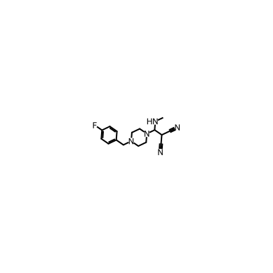 CNC(C(C#N)C#N)N1CCN(Cc2ccc(F)cc2)CC1